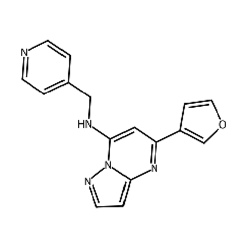 c1cc(CNc2cc(-c3ccoc3)nc3ccnn23)ccn1